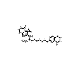 O=C(O)C(CCOCCCCc1ccc2c(n1)NCCC2)NC(=O)C1(n2c(F)cccc2=O)CC1